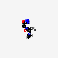 Cn1cnnc1CC1(c2cccc(N3Cc4c(cc(CN5CC[C@H]6C[C@H]65)cc4C(F)(F)F)C3=O)c2)COC1